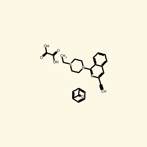 C#Cc1cc2ccccc2c(N2CCN(CC)CC2)n1.O=C(O)C(=O)O.O=C1c2cccc1c2